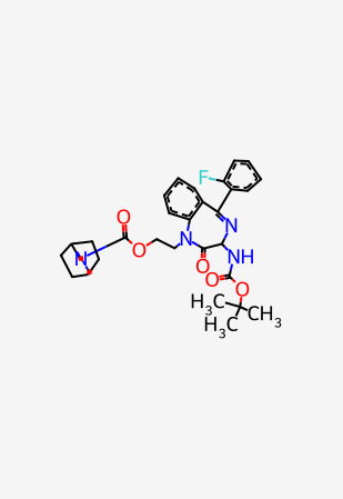 CC(C)(C)OC(=O)NC1N=C(c2ccccc2F)c2ccccc2N(CCOC(=O)N2CC3CCC(CC3)C2)C1=O